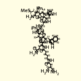 CSCC[C@H](NC(=O)[C@H](CC(C)C)NC(=O)[C@H](Cc1cnc[nH]1)NC(=O)CNC(=O)[C@@H](NC(=O)C(C)NC(=O)[C@H](Cc1c[nH]c2ccccc12)NC(=O)[C@H](CCC(N)=O)NC(=O)CCCCNC(=O)CC(CN)CN)C(C)C)C(N)=O